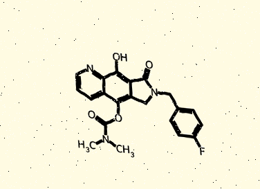 CN(C)C(=O)Oc1c2c(c(O)c3ncccc13)C(=O)N(Cc1ccc(F)cc1)C2